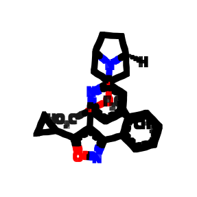 Cc1cc(C(=O)O)nc(N2C3CC[C@H]2CC(OCc2c(-c4ccccc4C(F)(F)F)noc2C2CC2)C3)c1